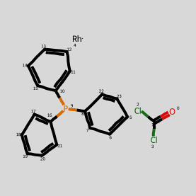 O=C(Cl)Cl.[Rh].c1ccc(P(c2ccccc2)c2ccccc2)cc1